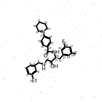 CCc1cccc(CNC[C@H](O)[C@H](Cc2cc(F)cc(F)c2)NC(=O)c2ccc(N3CCCCC3)cc2)c1